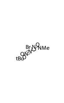 CNC(=O)c1ccc(N2CCN(C(=O)OC(C)(C)C)CC2)c(Br)n1